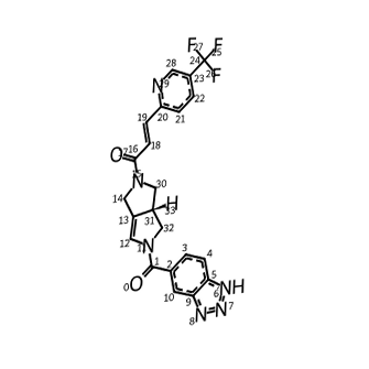 O=C(c1ccc2[nH]nnc2c1)N1C=C2CN(C(=O)/C=C/c3ccc(C(F)(F)F)cn3)C[C@@H]2C1